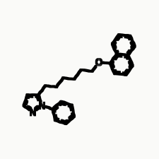 c1ccc(-n2nccc2CCCCCCOc2cccc3ccccc23)cc1